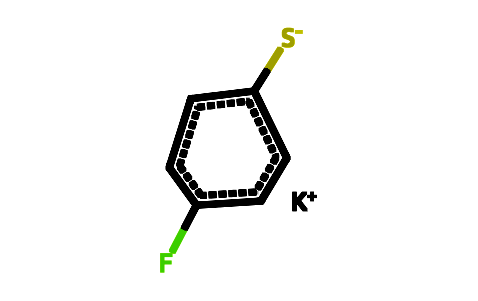 Fc1ccc([S-])cc1.[K+]